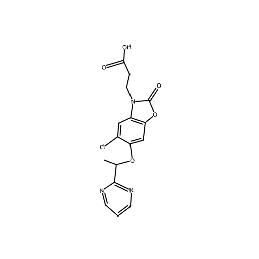 CC(Oc1cc2oc(=O)n(CCC(=O)O)c2cc1Cl)c1ncccn1